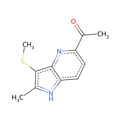 CSc1c(C)[nH]c2ccc(C(C)=O)nc12